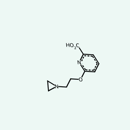 O=C(O)c1cccc(OCCN2CC2)n1